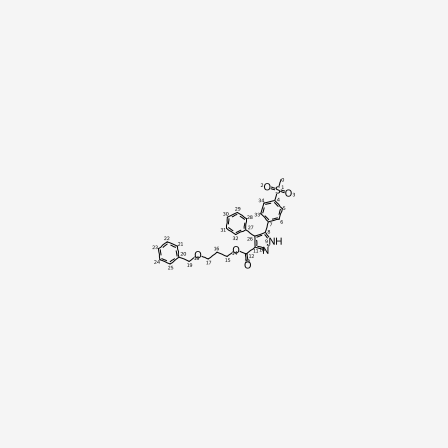 CS(=O)(=O)c1ccc(-c2[nH]nc(C(=O)OCCCOCc3ccccc3)c2-c2ccccc2)cc1